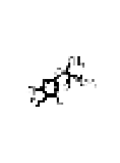 COC(=O)C(C)Oc1cc(Cl)c(CCl)c(Cl)c1